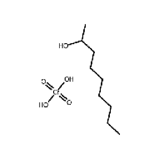 CCCCCCCC(C)O.[O]=[Cr](=[O])([OH])[OH]